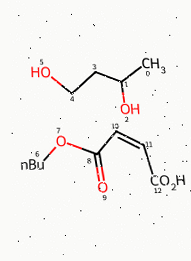 CC(O)CCO.CCCCOC(=O)/C=C\C(=O)O